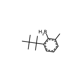 Bc1c(C)cccc1C(C)(C)C(C)(C)C